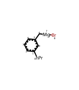 CCCc1cccc([CH2][Mg][Br])c1